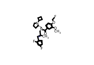 COc1cc(C(=O)N(C/C(C)=C/c2ccc(F)cc2F)C[C@@H]2CCCN2C2CCC2)ccc1OCF